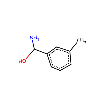 Cc1cccc(C(N)O)c1